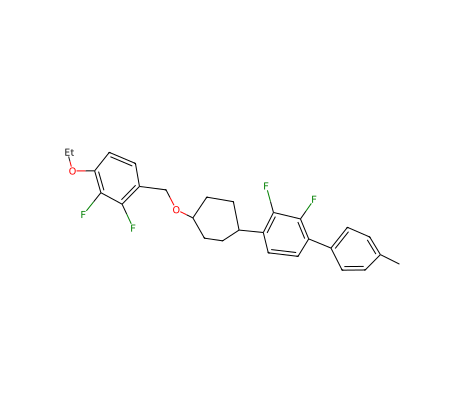 CCOc1ccc(COC2CCC(c3ccc(-c4ccc(C)cc4)c(F)c3F)CC2)c(F)c1F